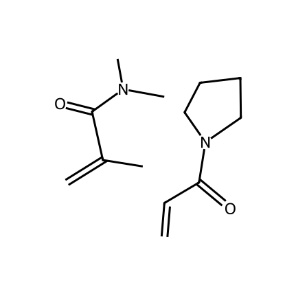 C=C(C)C(=O)N(C)C.C=CC(=O)N1CCCC1